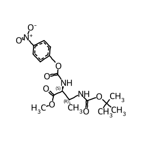 COC(=O)[C@@H](NC(=O)Oc1ccc([N+](=O)[O-])cc1)[C@@H](C)NC(=O)OC(C)(C)C